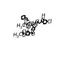 CNC(=O)[C@H](CCCc1ccccc1)NC(=O)C1CN(C(=O)Cc2c[nH]c3cc(Cl)ccc23)CC2CN(C(=O)c3ccc(OC(C)C)cc3)CC21